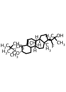 CC(C)(O)C(F)=C1CC[C@H]2[C@@H]3CC=C4C[C@@H](O[Si](C)(C)C(C)(C)C)CC[C@]4(C)[C@H]3CC[C@]12C